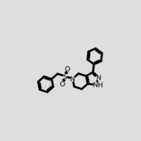 O=S(=O)(Cc1ccccc1)N1CCc2[nH]nc(-c3ccccc3)c2C1